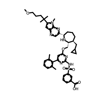 COCCCC(C)(C)c1cc2ncc([C@@H]3CCC[C@@H](CC4CC4)[C@H](COc4cc(-c5c(C)cccc5C)nc(NS(=O)(=O)c5cccc(C(=O)O)c5)n4)N3)nc2n1C